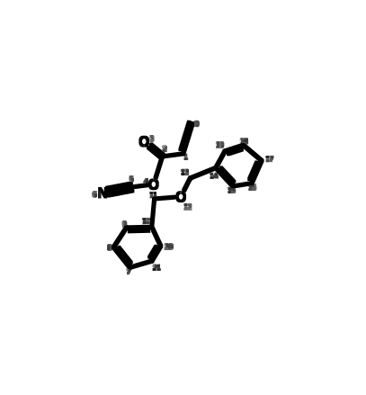 C=CC(=O)OC#N.c1ccc(COCc2ccccc2)cc1